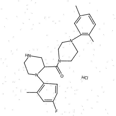 Cc1ccc(C)c(N2CCN(C(=O)C3CNCCN3c3ccc(F)cc3C)CC2)c1.Cl